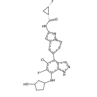 O=C(Nc1cc2cc(-c3c(Cl)c(F)c(NC4CCC(O)C4)c4[nH]ncc34)ccn2n1)[C@@H]1C[C@@H]1F